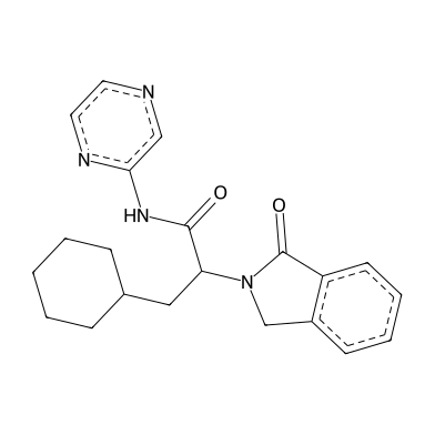 O=C(Nc1cnccn1)C(CC1CCCCC1)N1Cc2ccccc2C1=O